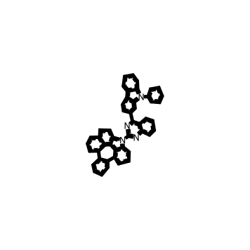 c1ccc(-n2c3ccccc3c3ccc(-c4nc(-n5c6cccc7c6c6c8c(cccc8ccc65)-c5ccccc5-7)nc5ccccc45)cc32)cc1